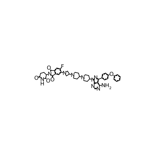 Nc1ncnc2c1c(-c1ccc(Oc3ccccc3)cc1)nn2C1CCN(C2CCN(C3CN(c4cc5c(cc4F)C(=O)N(C4CCC(=O)NC4=O)C5=O)C3)CC2)CC1